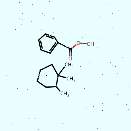 CC1CCCCC1(C)C.O=C(OO)c1ccccc1